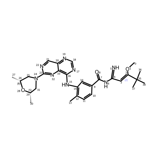 CO/C(=C\C(=N)NC(=O)c1ccc(C)c(Nc2ncnc3cnc(N4C[C@@H](C)O[C@@H](C)C4)nc23)c1)C(C)(C)C